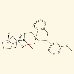 CCOC(=O)N1C2CC[C@@H]1CC(N1CCC3(CC1)CN(c1cccc(OC)c1)Cc1ccccc13)C2